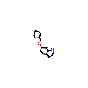 [c]1c(OCc2ccccc2)ccc2cccnc12